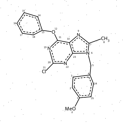 COc1ccc(Cn2c(C)nc3c(Oc4ccccc4)nc(Cl)nc32)cc1